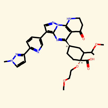 COCCO[C@]1(C(=O)O)CC[C@@H](c2nc3c(-c4ccc(-c5ccn(C)n5)nc4)cnn3c3c2C(=O)CCN3)CC1C(C)OC